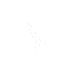 COC(=O)c1cc(NCCO)nc(-c2ccc(NC(=O)NC3CC3)cc2)n1